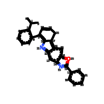 CC(C)c1ccccc1C1=C2N=c3cc4nc(-c5ccccc5)oc4cc3=C2CC=C1